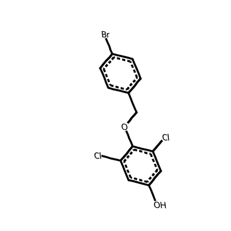 Oc1cc(Cl)c(OCc2ccc(Br)cc2)c(Cl)c1